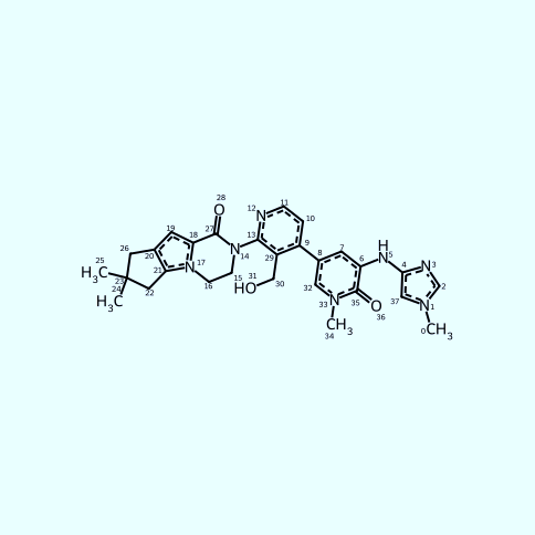 Cn1cnc(Nc2cc(-c3ccnc(N4CCn5c(cc6c5CC(C)(C)C6)C4=O)c3CO)cn(C)c2=O)c1